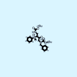 CC(C)(C)OC(=O)NCC(C(O)CN(Cc1ccccc1)C(=O)OC(C)(C)C)S(=O)(=O)c1ccccc1